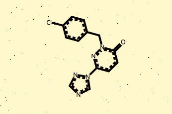 O=c1ccc(-n2cncn2)nn1Cc1ccc(Cl)cc1